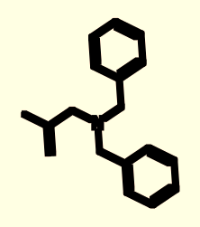 C=C(C)CN(Cc1ccccc1)Cc1ccccc1